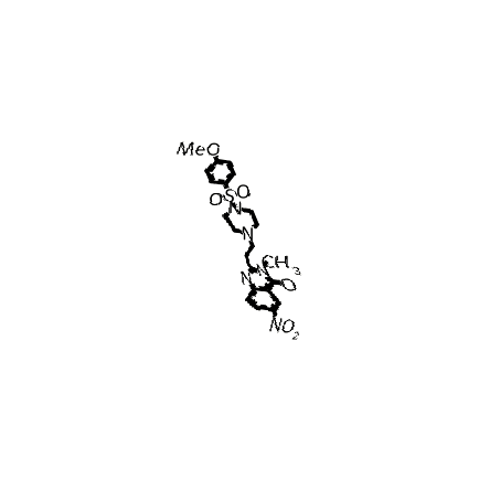 COc1ccc(S(=O)(=O)N2CCN(CCc3nc4ccc([N+](=O)[O-])cc4c(=O)n3C)CC2)cc1